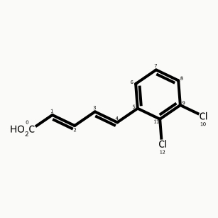 O=C(O)C=CC=Cc1cccc(Cl)c1Cl